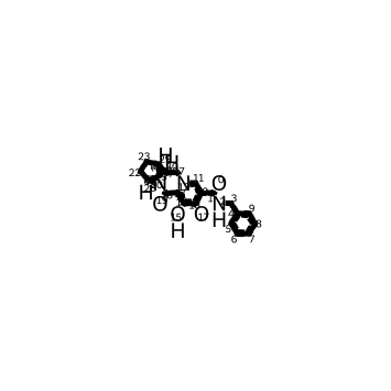 O=C(NCc1ccccc1)c1cn2c(c(O)c1=O)C(=O)N1[C@H]3CC[C@H](C3)[C@@H]1C2